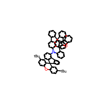 CC(C)(C)c1ccc2c(c1)C1(c3cc(C(C)(C)C)ccc3O2)c2ccccc2-c2c(N(c3ccc4c(c3)C3(c5ccccc5-c5ccccc53)c3ccccc3-4)c3ccccc3-c3cccc4c3oc3ccccc34)cccc21